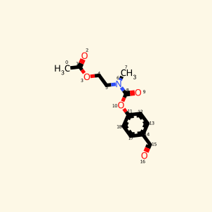 CC(=O)OCCN(C)C(=O)Oc1ccc(C=O)cc1